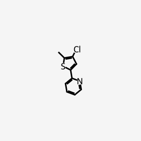 Cc1sc(-c2ccccn2)cc1Cl